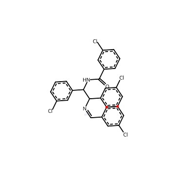 O=C(NC(c1cccc(Cl)c1)C(/N=C\c1cccc(Cl)c1)c1cccc(Cl)c1)c1cccc(Cl)c1